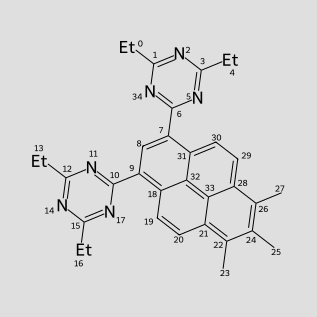 CCc1nc(CC)nc(-c2cc(-c3nc(CC)nc(CC)n3)c3ccc4c(C)c(C)c(C)c5ccc2c3c54)n1